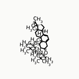 C[C@H]1O[C@@]12CC[C@H]1C3=CC=C4C[C@@H](O[Si](C)(C)C(C)(C)C)C[C@H](O[Si](C)(C)C(C)(C)C)[C@]4(C)[C@H]3CC[C@@]12C